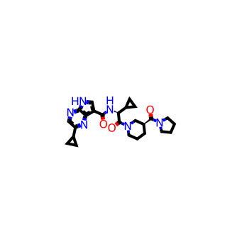 O=C(N[C@@H](C(=O)N1CCC[C@H](C(=O)N2CCCC2)C1)C1CC1)c1c[nH]c2ncc(C3CC3)nc12